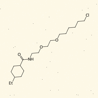 CCC1CCC(C(=O)NCCOCCOCCCCCCCl)CC1